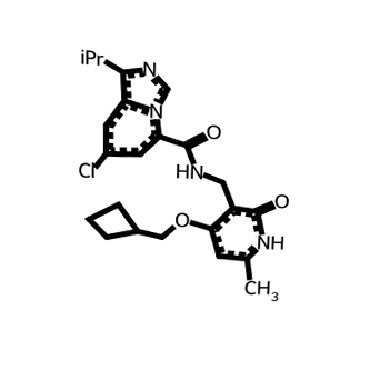 Cc1cc(OCC2CCC2)c(CNC(=O)c2cc(Cl)cc3c(C(C)C)ncn23)c(=O)[nH]1